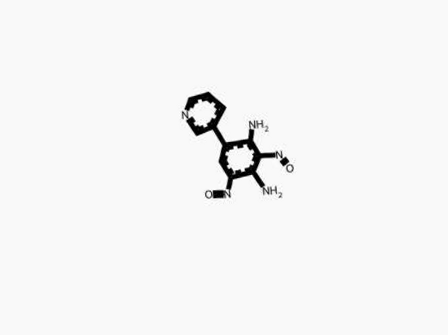 Nc1c(N=O)cc(-c2cccnc2)c(N)c1N=O